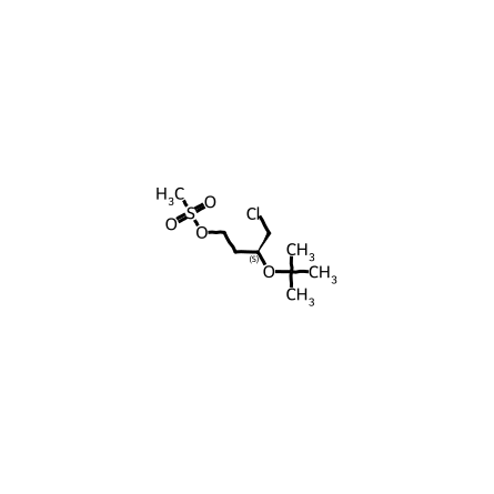 CC(C)(C)O[C@H](CCl)CCOS(C)(=O)=O